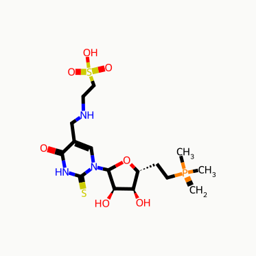 C=P(C)(C)CC[C@H]1OC(n2cc(CNCCS(=O)(=O)O)c(=O)[nH]c2=S)[C@H](O)[C@@H]1O